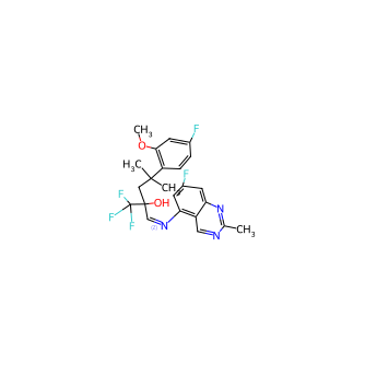 COc1cc(F)ccc1C(C)(C)CC(O)(/C=N\c1cc(F)cc2nc(C)ncc12)C(F)(F)F